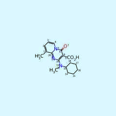 Cc1cccn2c(=O)c(C(=O)O)c(N(C)C3CCCCC3)nc12